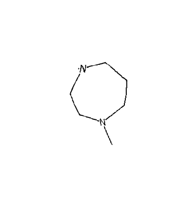 CN1CCC[N]CC1